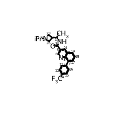 CC(NC(=O)c1cnc2c(-c3ccc(C(F)(F)F)cc3)cccc2c1)C1CN(C(C)C)C1